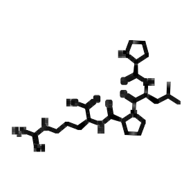 CC(C)C[C@H](NC(=O)[C@@H]1CCCN1)C(=O)N1CCC[C@H]1C(=O)N[C@@H](CCCNC(=N)N)C(=O)O